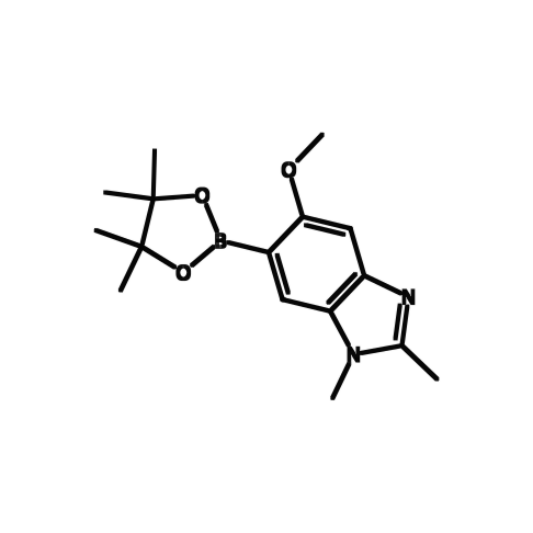 COc1cc2nc(C)n(C)c2cc1B1OC(C)(C)C(C)(C)O1